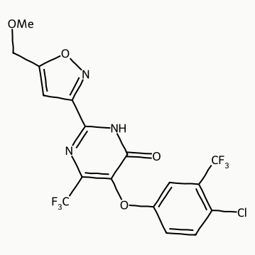 COCc1cc(-c2nc(C(F)(F)F)c(Oc3ccc(Cl)c(C(F)(F)F)c3)c(=O)[nH]2)no1